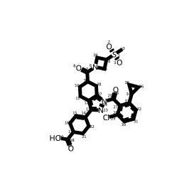 CS(=O)(=O)C1CN(C(=O)C2CCc3c(C4=CCC(C(=O)O)CC4)nn(C(=O)c4c(Cl)cccc4C4CC4)c3C2)C1